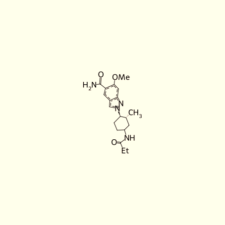 CCC(=O)NC1CC[C@@H](n2cc3cc(C(N)=O)c(OC)cc3n2)[C@H](C)C1